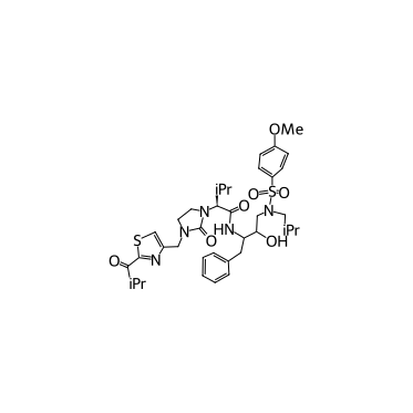 COc1ccc(S(=O)(=O)N(CC(C)C)CC(O)C(Cc2ccccc2)NC(=O)[C@H](C(C)C)N2CCN(Cc3csc(C(=O)C(C)C)n3)C2=O)cc1